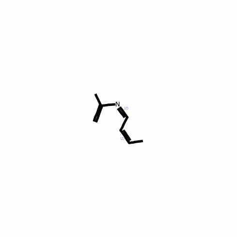 C=C(C)/N=C\C=C/C